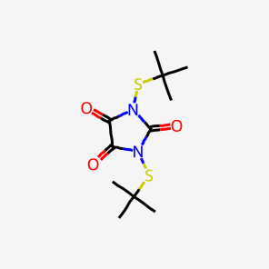 CC(C)(C)SN1C(=O)C(=O)N(SC(C)(C)C)C1=O